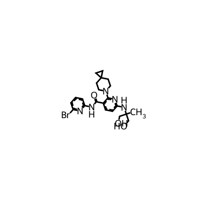 CC(CO)(CO)Nc1ccc(C(=O)Nc2cccc(Br)n2)c(N2CCC3(CC2)CC3)n1